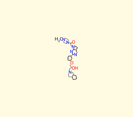 CN1CCN(C(=O)Cn2ccc3cnc(-c4cccc(OCC(O)CN5CCc6ccccc6C5)c4)nc32)CC1